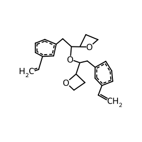 C=Cc1cccc(CC(OC(Cc2cccc(C=C)c2)C2CCO2)C2CCO2)c1